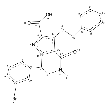 CN1CC(c2cccc(Br)c2)n2nc(C(=O)O)c(OCc3ccccc3)c2C1=O